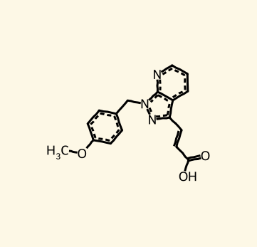 COc1ccc(Cn2nc(C=CC(=O)O)c3cccnc32)cc1